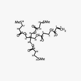 C=CC(=O)OCCC(=O)OCC(COC(=O)CCSC)(COC(=O)CCSC)COC(=O)CCSC